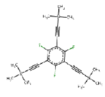 C[Si](C)(C)C#Cc1c(F)c(C#C[Si](C)(C)C)c(F)c(C#C[Si](C)(C)C)c1F